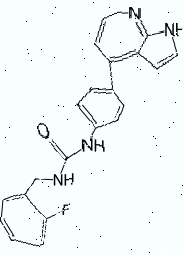 O=C(NCc1ccccc1F)Nc1ccc(-c2ccnc3[nH]ccc23)cc1